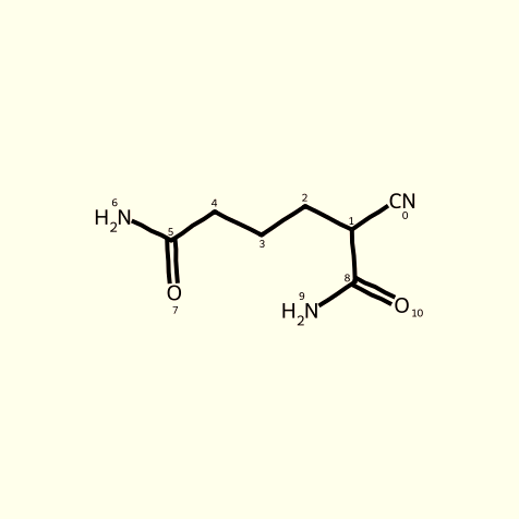 N#CC(CCCC(N)=O)C(N)=O